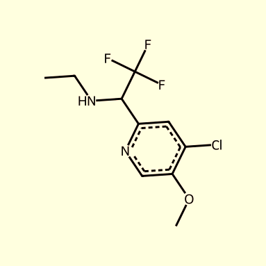 CCNC(c1cc(Cl)c(OC)cn1)C(F)(F)F